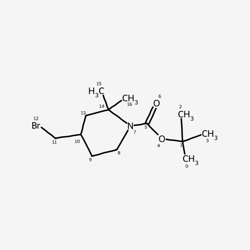 CC(C)(C)OC(=O)N1CCC(CBr)CC1(C)C